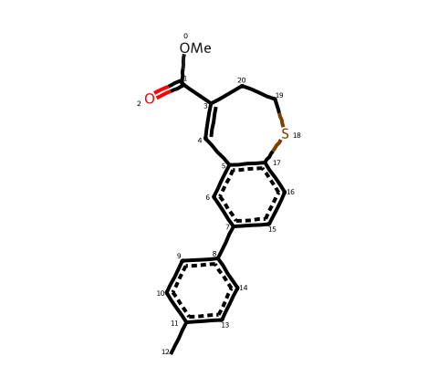 COC(=O)C1=Cc2cc(-c3ccc(C)cc3)ccc2SCC1